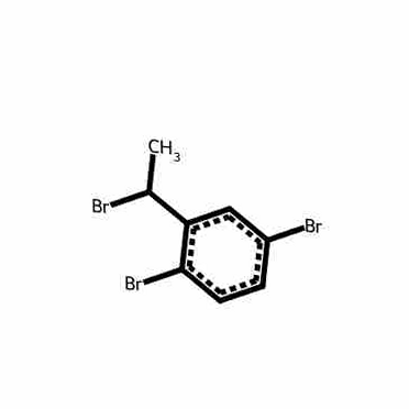 CC(Br)c1cc(Br)ccc1Br